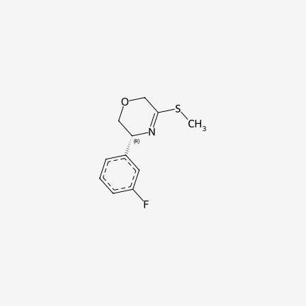 CSC1=N[C@H](c2cccc(F)c2)COC1